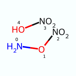 NO[N+](=O)[O-].O=[N+]([O-])O